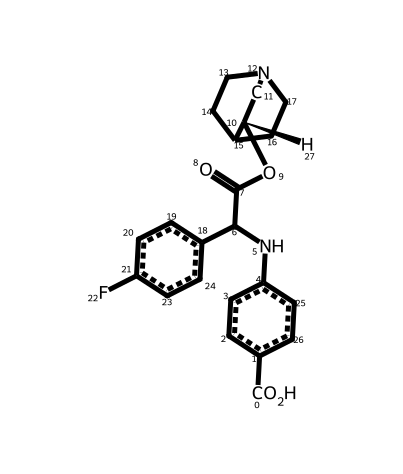 O=C(O)c1ccc(NC(C(=O)O[C@H]2CN3CCC2CC3)c2ccc(F)cc2)cc1